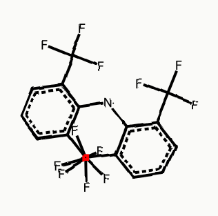 FC(F)(F)c1cccc(C(F)(F)F)c1[N]c1c(C(F)(F)F)cccc1C(F)(F)F